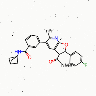 CCCc1nc2c(cc1-c1cccc(C(=O)NC34CC(C3)C4)c1)C(C(=O)NC)C(c1ccc(F)cc1)O2